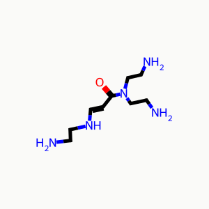 NCCNC=CC(=O)N(CCN)CCN